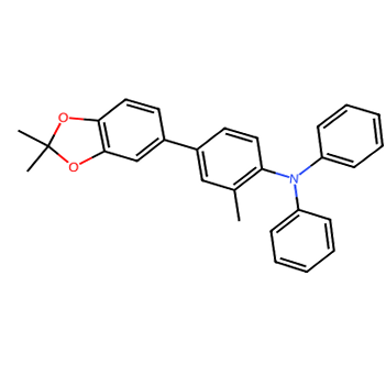 Cc1cc(-c2ccc3c(c2)OC(C)(C)O3)ccc1N(c1ccccc1)c1ccccc1